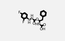 O=C(O)NC(Cc1ccccc1)OC(=O)NNc1ccc(F)cc1F